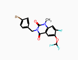 Cn1c(=O)n(Cc2ccc(Br)cc2)c(=O)c2cc(OC(F)F)c(F)cc21